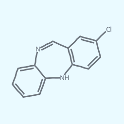 Clc1ccc2c(c1)C=Nc1ccccc1N2